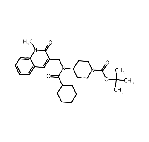 Cn1c(=O)c(CN(C(=O)C2CCCCC2)C2CCN(C(=O)OC(C)(C)C)CC2)cc2ccccc21